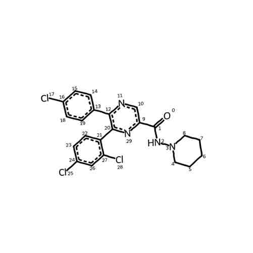 O=C(NN1CCCCC1)c1cnc(-c2ccc(Cl)cc2)c(-c2ccc(Cl)cc2Cl)n1